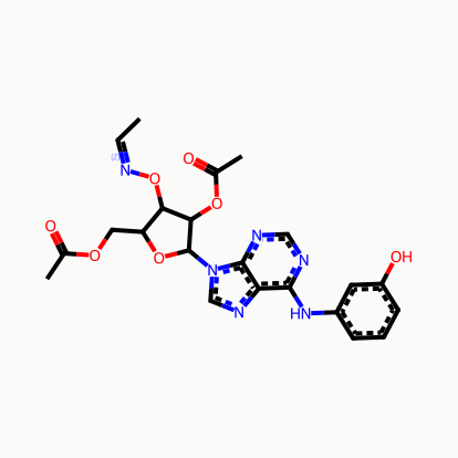 C/C=N\OC1C(COC(C)=O)OC(n2cnc3c(Nc4cccc(O)c4)ncnc32)C1OC(C)=O